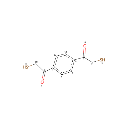 O=C(CS)c1ccc(C(=O)CS)cc1